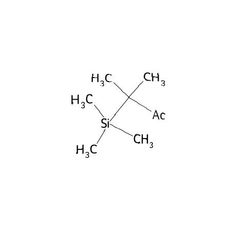 CC(=O)C(C)(C)[Si](C)(C)C